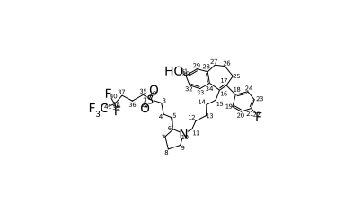 O=S(=O)(CCC[C@@H]1CCCN1CCCCCC1=C(c2ccc(F)cc2)CCCc2cc(O)ccc21)CCCC(F)(F)C(F)(F)F